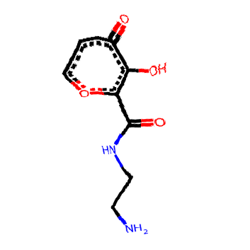 NCCNC(=O)c1occc(=O)c1O